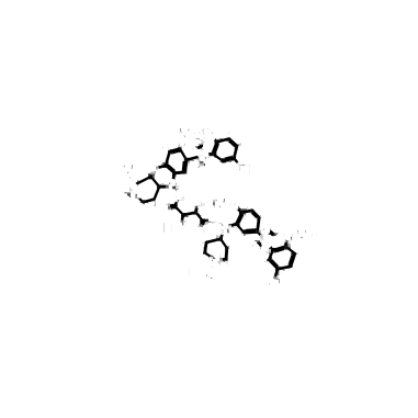 COc1ccc(S(=O)(=O)c2cc(Cl)ccc2OC)cc1N(OC(=O)C(O)C(O)C(=O)ON(c1cc(S(=O)(=O)c2cc(Cl)ccc2OC)ccc1OC)C1CCN(C)CC1)C1CCN(C)CC1